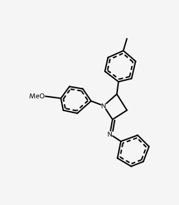 COc1ccc(N2/C(=N/c3ccccc3)CC2c2ccc(C)cc2)cc1